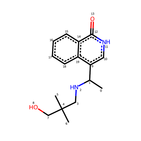 CC(NCC(C)(C)CO)c1c[nH]c(=O)c2ccccc12